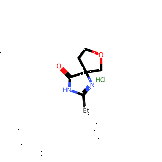 CCC1=NC2(CCOC2)C(=O)N1.Cl